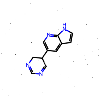 C1=NC=NCC1c1cnc2[nH]ccc2c1